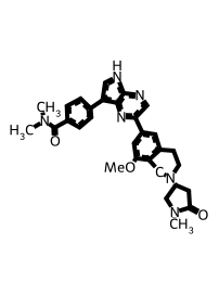 COc1cc(-c2cnc3[nH]cc(-c4ccc(C(=O)N(C)C)cc4)c3n2)cc2c1CN(C1CC(=O)N(C)C1)CC2